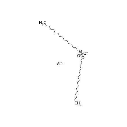 CCCCCCCCCCCCCCCCOP(=O)([O-])OCCCCCCCCCCCCCCCC.[Al+]